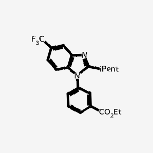 CCCC(C)c1nc2cc(C(F)(F)F)ccc2n1-c1cccc(C(=O)OCC)c1